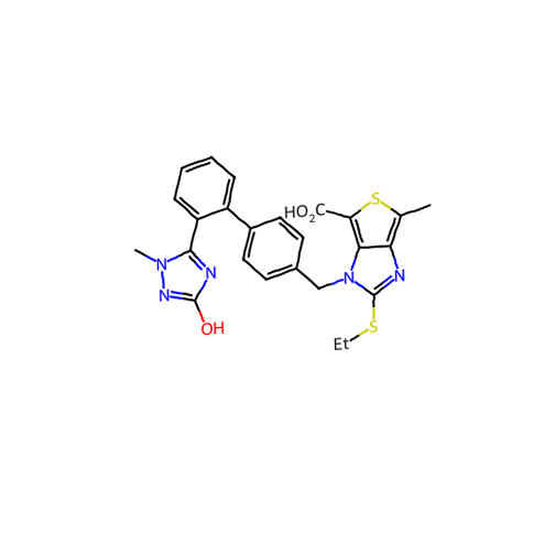 CCSc1nc2c(C)sc(C(=O)O)c2n1Cc1ccc(-c2ccccc2-c2nc(O)nn2C)cc1